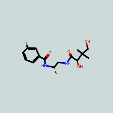 C[C@@H](CNC(=O)[C@H](O)C(C)(C)CO)NC(=O)c1cccc(F)c1